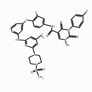 Cc1cc(Nc2cc(Oc3ccc(NC(=O)c4cn(C(C)C)c(=O)n(-c5ccc(F)cc5)c4=O)cc3F)ccn2)nc(N2CCN(S(C)(=O)=O)CC2)c1